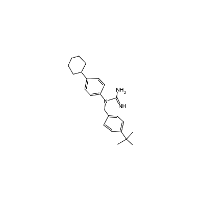 CC(C)(C)c1ccc(CN(C(=N)N)c2ccc(C3CCCCC3)cc2)cc1